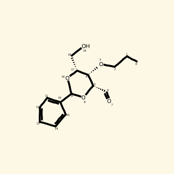 CCCO[C@@H]1[C@H](C=O)OC(c2ccccc2)O[C@@H]1CO